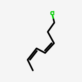 C/C=C\C=C/CCCl